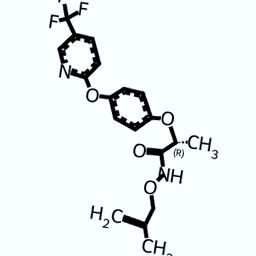 C=C(C)CONC(=O)[C@@H](C)Oc1ccc(Oc2ccc(C(F)(F)F)cn2)cc1